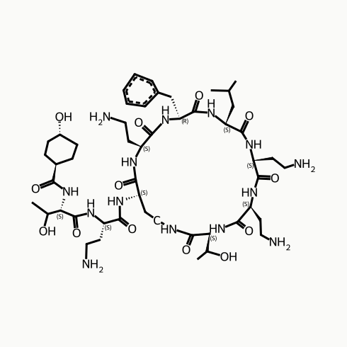 CC(C)C[C@@H]1NC(=O)[C@@H](Cc2ccccc2)NC(=O)[C@H](CCN)NC(=O)[C@@H](NC(=O)[C@H](CCN)NC(=O)[C@@H](NC(=O)[C@H]2CC[C@H](O)CC2)C(C)O)CCNC(=O)[C@H](C(C)O)NC(=O)[C@H](CCN)NC(=O)[C@H](CCN)NC1=O